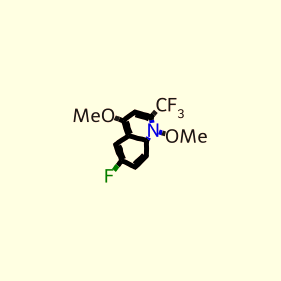 COC1=C2C=C(F)C=CC2N(OC)C(C(F)(F)F)=C1